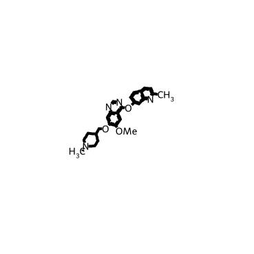 COc1cc2c(Oc3ccc4ccc(C)nc4c3)ncnc2cc1OCC1CCN(C)CC1